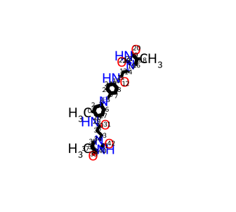 Cc1cc(/N=C/c2ccc(NC(=O)CCn3cc(C)c(=O)[nH]c3=O)cc2)ccc1NC(=O)CCn1cc(C)c(=O)[nH]c1=O